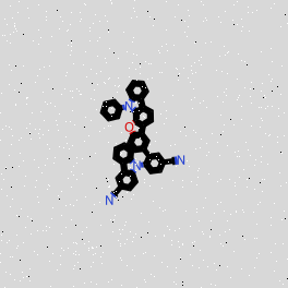 N#Cc1ccc(-n2c3ccccc3c3cc(C#N)ccc32)c(-c2ccc3oc4c(ccc5c6ccccc6n(-c6ccccc6)c54)c3c2)c1